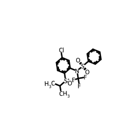 CC(C)[S+]([O-])c1ccc(Cl)cc1N(C(F)(F)F)S(=O)(=O)c1ccccc1